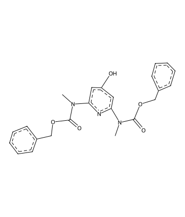 CN(C(=O)OCc1ccccc1)c1cc(O)cc(N(C)C(=O)OCc2ccccc2)n1